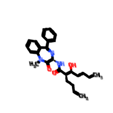 C=CCC[C@@H](C(=O)N[C@H]1N=C(c2ccccc2)c2ccccc2N(C)C1=O)[C@@H](O)CCCC